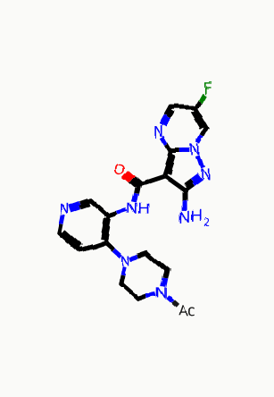 CC(=O)N1CCN(c2ccncc2NC(=O)c2c(N)nn3cc(F)cnc23)CC1